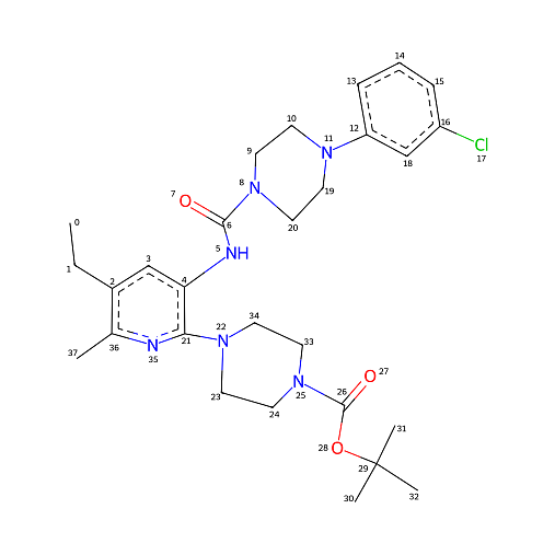 CCc1cc(NC(=O)N2CCN(c3cccc(Cl)c3)CC2)c(N2CCN(C(=O)OC(C)(C)C)CC2)nc1C